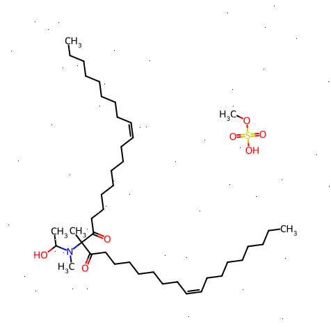 CCCCCCCC/C=C\CCCCCCCC(=O)C(C)(C(=O)CCCCCCC/C=C\CCCCCCCC)N(C)C(C)O.COS(=O)(=O)O